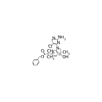 CC(C)(C(=O)OCc1ccccc1)c1ccc2c(c1)N(c1nc(N)ncc1Cl)C[C@@]2(C)CO